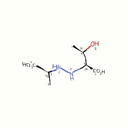 C[C@H](NN[C@H](C(=O)O)[C@@H](C)O)C(=O)O